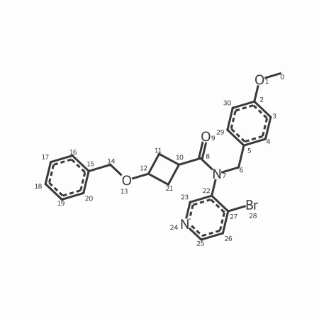 COc1ccc(CN(C(=O)C2CC(OCc3ccccc3)C2)c2cnccc2Br)cc1